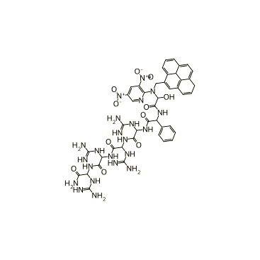 N=C(N)NC(NC(=O)C(NC(=N)N)NC(=O)C(NC(=N)N)NC(=O)C(NC(=N)N)NC(=O)C(NC(=O)C(O)N(CC1=CC2=C3C(=CC=C4C=CC=C1C43)CC=C2)c1ncc([N+](=O)[O-])cc1[N+](=O)[O-])c1ccccc1)C(N)=O